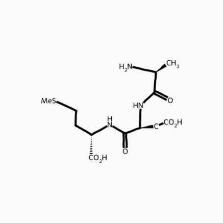 CSCC[C@H](NC(=O)[C@H](CC(=O)O)NC(=O)[C@H](C)N)C(=O)O